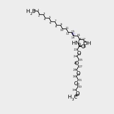 BCCCCCCCCCCCC/C=C/CC(CO)NC(=O)COCCOCCOCCOCCOC